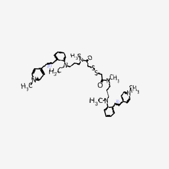 CN(CCCN(C)c1ccccc1/C=C/c1cc[n+](C)cc1)C(=O)CSSCC(=O)N(C)CCCN(C)c1ccccc1/C=C/c1cc[n+](C)cc1